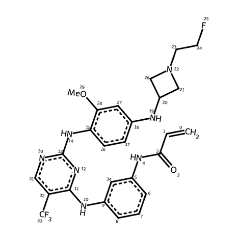 C=CC(=O)Nc1cccc(Nc2nc(Nc3ccc(NC4CN(CCF)C4)cc3OC)ncc2C(F)(F)F)c1